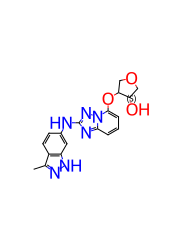 Cc1n[nH]c2cc(Nc3nc4cccc(OC5COC[C@@H]5O)n4n3)ccc12